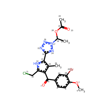 COc1ccc(C(=O)c2c(CCl)[nH]c(-c3nnn(C(C)OC(C)=O)n3)c2C)cc1Br